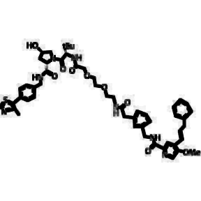 COc1cnc(C(=O)NCc2cccc(CC(=O)NCCOCCOCC(=O)N[C@H](C(=O)N3C[C@H](O)C[C@H]3C(=O)NCc3ccc(-c4scnc4C)cc3)C(C)(C)C)c2)cc1/C=C/Cc1ccccc1